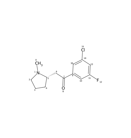 CN1CCC[C@H]1CC(=O)c1cc(F)cc(Cl)c1